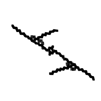 CCCCCCCCCCC(O)CN(CCCSSCCCCN1CC(C)N(CCOC(=O)CCCN(CC(O)CCCCCCCCCC)CC(O)CCCCCCCCCC)CC1C)CC(O)CCCCCCCCCC